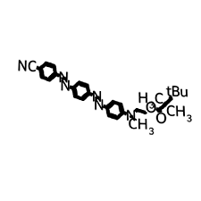 CN(CCOC(=O)C(C)(C)CC(C)(C)C)c1ccc(/N=N/c2ccc(/N=N/c3ccc(C#N)cc3)cc2)cc1